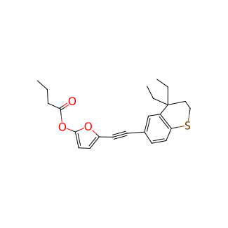 CCCC(=O)Oc1ccc(C#Cc2ccc3c(c2)C(CC)(CC)CCS3)o1